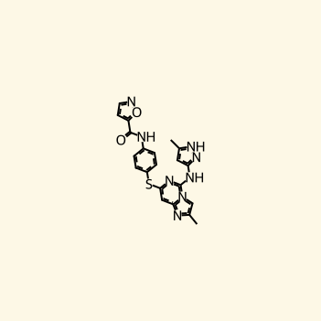 Cc1cn2c(Nc3cc(C)[nH]n3)nc(Sc3ccc(NC(=O)c4ccno4)cc3)cc2n1